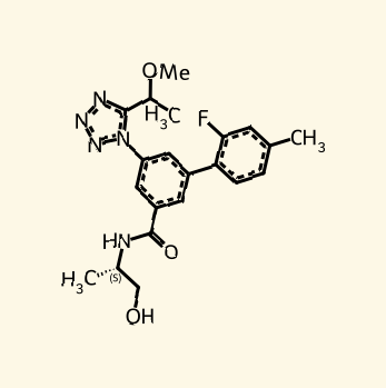 COC(C)c1nnnn1-c1cc(C(=O)N[C@@H](C)CO)cc(-c2ccc(C)cc2F)c1